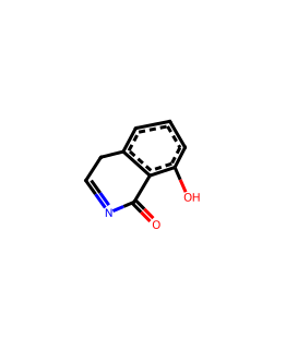 O=C1N=CCc2cccc(O)c21